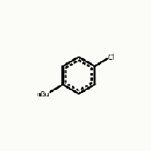 [CH2]CCCc1ccc(Cl)cc1